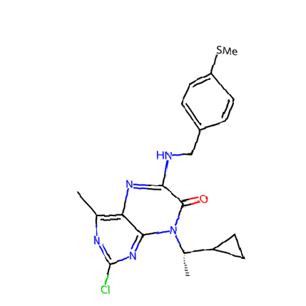 CSc1ccc(CNc2nc3c(C)nc(Cl)nc3n([C@@H](C)C3CC3)c2=O)cc1